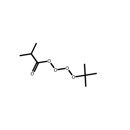 CC(C)C(=O)OOOOC(C)(C)C